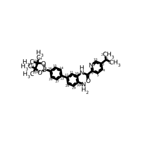 CC(C)c1ccc(C(=O)Nc2cc(-c3ccc(B4OC(C)(C)C(C)(C)O4)cc3)ccc2N)nc1